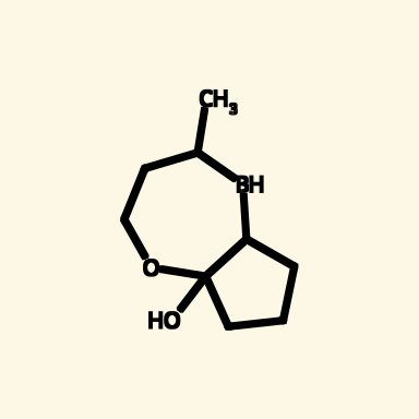 CC1BC2CCCC2(O)OCC1